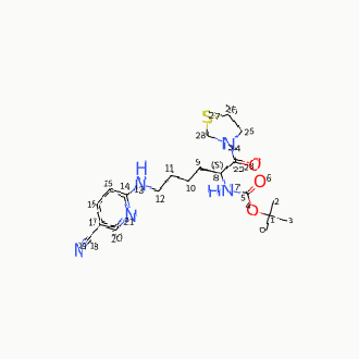 CC(C)(C)OC(=O)N[C@@H](CCCCNc1ccc(C#N)cn1)C(=O)N1CCSC1